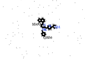 COc1ccc(Cn2nc(-c3ccc(C4CCNC4)nc3)c3nc(-c4cccc5c4CCC5)c(OC)cc32)cc1